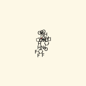 CS(=O)(=O)NCC(O)[C@@]1(O)C2CC[C@H]1C[C@H](Sc1cc(C(=O)Nc3cc(F)c(F)c(F)c3)ccc1Cl)C2